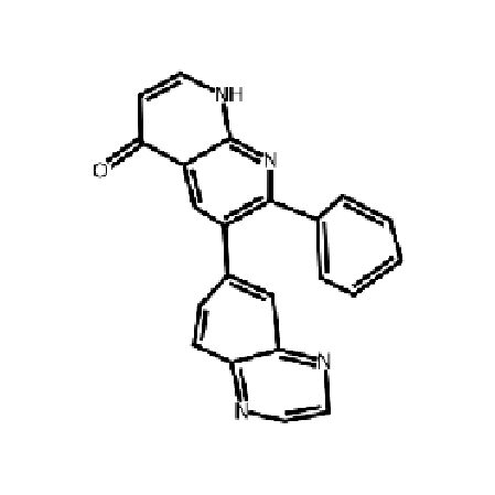 O=c1cc[nH]c2nc(-c3ccccc3)c(-c3ccc4nccnc4c3)cc12